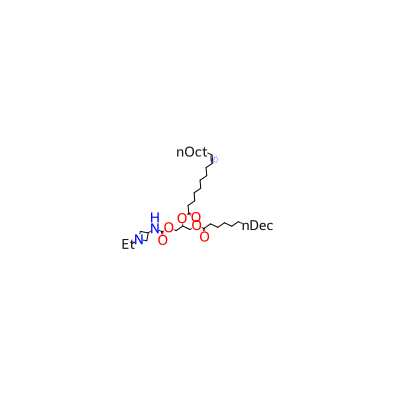 CCCCCCCC/C=C\CCCCCCCC(=O)OC(COC(=O)CCCCCCCCCCCCCCC)COC(=O)NC1CN(CC)C1